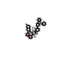 CC1C=C2CC3C(=CC2=CC1)N(C1Nc2c(sc4ccc(-c5ccc6c7ccccc7n(-c7ccccc7)c6c5)cc24)N(C)C1c1ccccc1)c1ccccc13